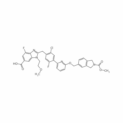 COCCn1c(Cc2cc(F)c(-c3cccc(OCc4ccc5c(c4)CN(C(=O)OC)C5)n3)cc2Cl)nc2c(F)cc(C(=O)O)cc21